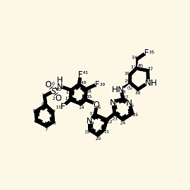 O=S(=O)(Cc1ccccc1)Nc1c(F)cc(Oc2ncccc2-c2ccnc(N[C@@H]3CNC[C@H](CF)C3)n2)c(F)c1F